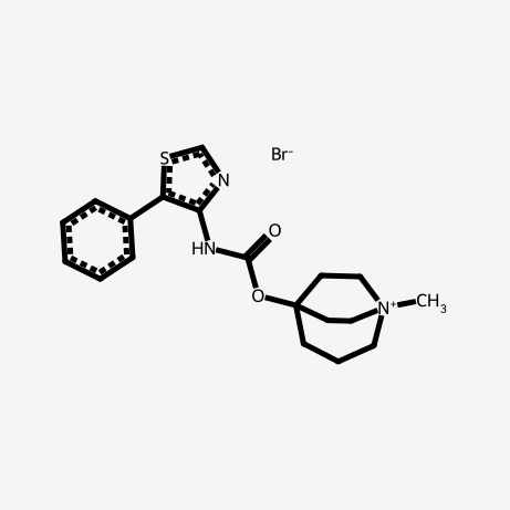 C[N+]12CCCC(OC(=O)Nc3ncsc3-c3ccccc3)(CC1)CC2.[Br-]